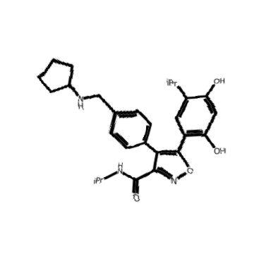 CC(C)NC(=O)c1noc(-c2cc(C(C)C)c(O)cc2O)c1-c1ccc(CNC2CCCC2)cc1